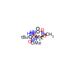 COC(=O)Nc1cc(C(C)(C)C)cc(NC(=O)Nc2ccc(C(=O)N3C[C@@H](C)O[C@@H](C)C3)c3ccccc23)c1OC